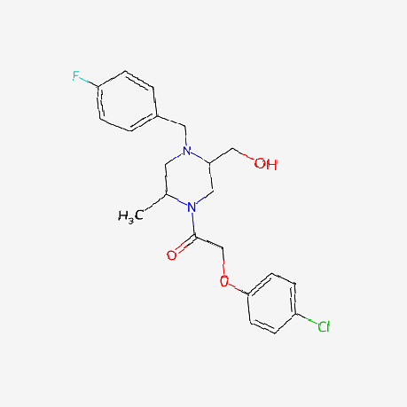 CC1CN(Cc2ccc(F)cc2)C(CO)CN1C(=O)COc1ccc(Cl)cc1